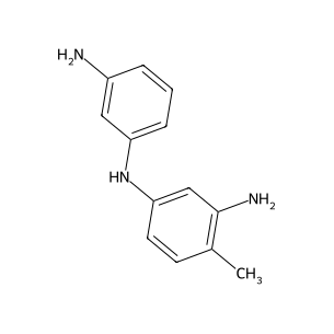 Cc1ccc(Nc2cccc(N)c2)cc1N